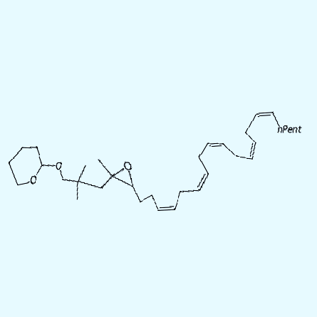 CCCCC/C=C\C/C=C\C/C=C\C/C=C\C/C=C\CCC1OC1(C)CC(C)(C)COC1CCCCO1